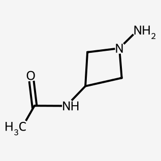 CC(=O)NC1CN(N)C1